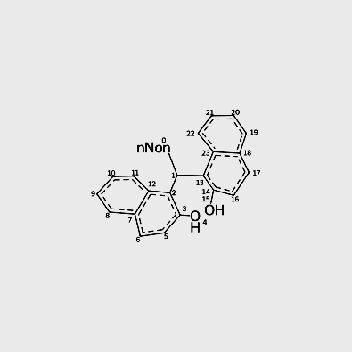 CCCCCCCCCC(c1c(O)ccc2ccccc12)c1c(O)ccc2ccccc12